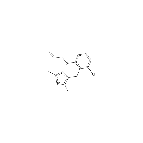 C=CCOc1cccc(Cl)c1Cc1cn(C)nc1C